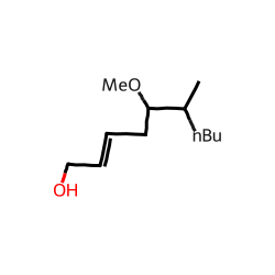 CCCCC(C)C(CC=CCO)OC